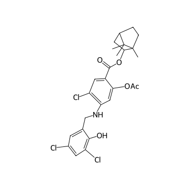 CC(=O)Oc1cc(NCc2cc(Cl)cc(Cl)c2O)c(Cl)cc1C(=O)OC1CC2CCC1(C)C2(C)C